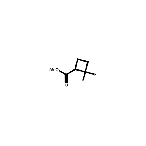 COC(=O)C1CCC1(F)F